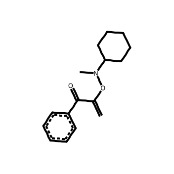 C=C(ON(C)C1CCCCC1)C(=O)c1ccccc1